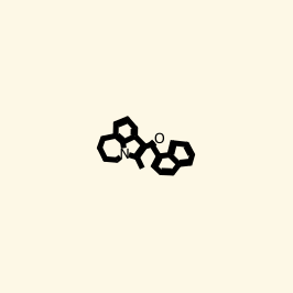 Cc1c(C(=O)c2cccc3ccccc23)c2cccc3c2n1CCCC3